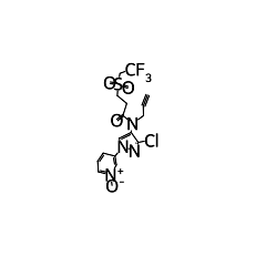 C#CCN(C(=O)CCS(=O)(=O)CC(F)(F)F)c1cn(-c2ccc[n+]([O-])c2)nc1Cl